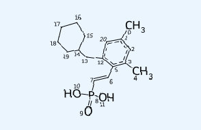 Cc1cc(C)c(C=CP(=O)(O)O)c(CC2CCCCC2)c1